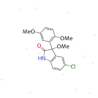 COc1ccc(OC)c(C2(OC)C(=O)Nc3ccc(Cl)cc32)c1